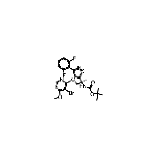 COc1ncnc(OC[C@](C)(NC(=O)OC(C)(C)C)c2cc(-c3c(F)cccc3F)no2)c1Br